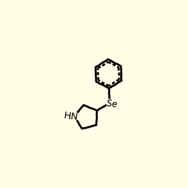 c1ccc([Se]C2CCNC2)cc1